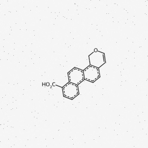 O=C(O)c1cccc2c1ccc1c3c(ccc12)C=COC3